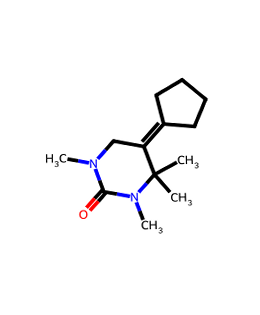 CN1CC(=C2CCCC2)C(C)(C)N(C)C1=O